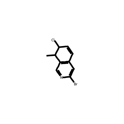 CC1c2cnc(Br)cc2C=CC1Cl